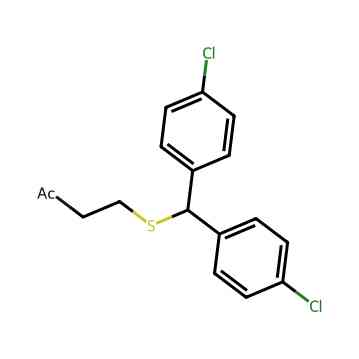 CC(=O)CCSC(c1ccc(Cl)cc1)c1ccc(Cl)cc1